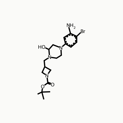 CC(C)(C)OC(=O)N1CC(CN2CCN(c3ccc(Br)c(N)c3)CC2O)C1